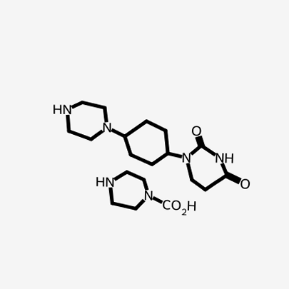 O=C(O)N1CCNCC1.O=C1CCN(C2CCC(N3CCNCC3)CC2)C(=O)N1